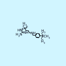 CC(C)(C)c1ccc(CNCCC(NC(=N)N)C(C)(F)F)cc1